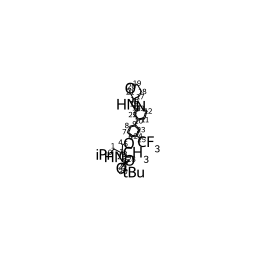 CC(C)C[C@@](C)(COc1ccc(-c2ccnc(NC3CCCOC3)c2)cc1C(F)(F)F)NC(=O)OC(C)(C)C